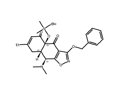 CCC1=CC(=O)[C@]2(O[Si](C)(C)C(C)(C)C)C(=O)c3c(OCc4ccccc4)noc3[C@@H](N(C)C)[C@@H]2C1